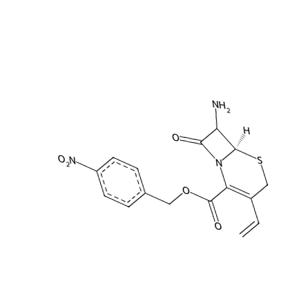 C=CC1=C(C(=O)OCc2ccc([N+](=O)[O-])cc2)N2C(=O)C(N)[C@H]2SC1